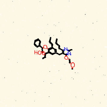 CCCCc1nc(C)nc(OCCOC)c1Cc1cc(CCC)c(OC(C(=O)O)c2ccccc2)c(CCC)c1